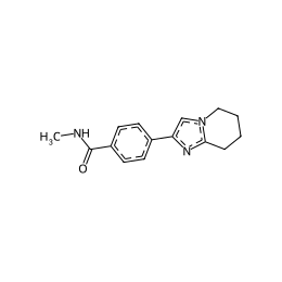 CNC(=O)c1ccc(-c2cn3c(n2)CCCC3)cc1